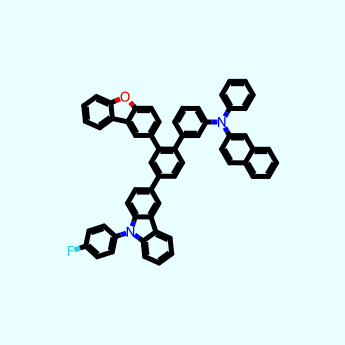 Fc1ccc(-n2c3ccccc3c3cc(-c4ccc(-c5cccc(N(c6ccccc6)c6ccc7ccccc7c6)c5)c(-c5ccc6oc7ccccc7c6c5)c4)ccc32)cc1